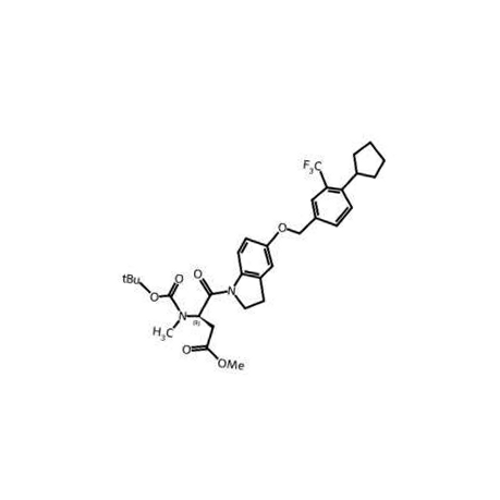 COC(=O)C[C@H](C(=O)N1CCc2cc(OCc3ccc(C4CCCC4)c(C(F)(F)F)c3)ccc21)N(C)C(=O)OC(C)(C)C